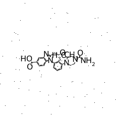 COCCc1nc2cc(C(=O)O)ccc2n1-c1cccc(N2CCN(C(N)=O)CC2C)c1